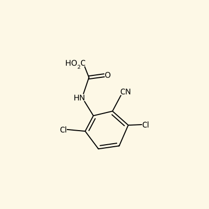 N#Cc1c(Cl)ccc(Cl)c1NC(=O)C(=O)O